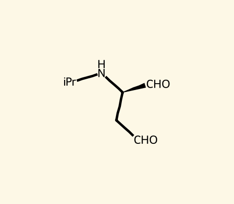 CC(C)N[C@@H](C=O)CC=O